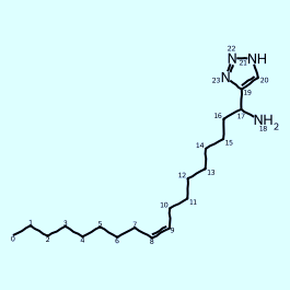 CCCCCCCC/C=C\CCCCCCCC(N)c1c[nH]nn1